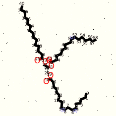 CCCCC/C=C\C/C=C\CCCCCCCC(=O)OC[C@H](COC(=O)CCCCCCCCCCCCCCC)OC(=O)CCCCCCC/C=C\CCCCCC